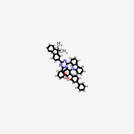 CC1(C)c2ccccc2-c2ccc(-c3nc(-c4ccccc4)nc(-c4cccc5c6ccccc6n(-c6cccc7oc8cc(-c9ccccc9)ccc8c67)c45)n3)cc21